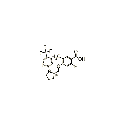 Cc1cc(C(=O)O)c(F)cc1OC[C@H]1CCCN1c1ccc(C(F)(F)F)cn1